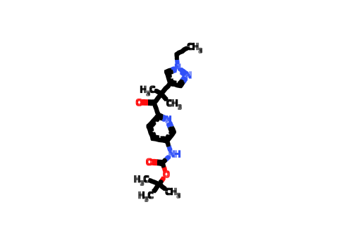 CCn1cc(C(C)(C)C(=O)c2ccc(NC(=O)OC(C)(C)C)cn2)cn1